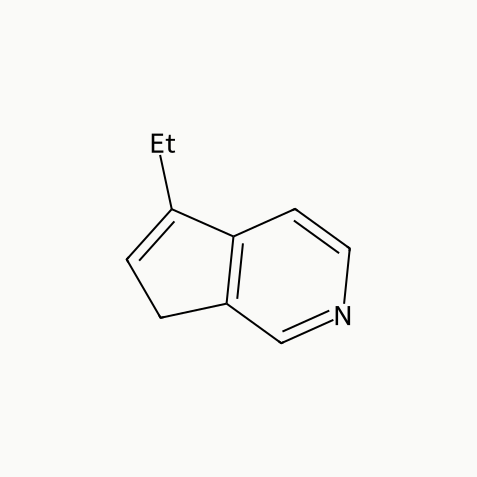 CCC1=CCc2cnccc21